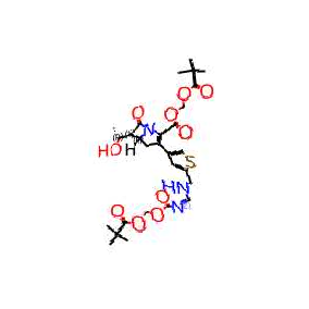 C[C@@H](O)[C@H]1C(=O)N2C(C(=O)OCOC(=O)C(C)(C)C)=C(c3csc(CN/C=N\C(=O)OCOC(=O)C(C)(C)C)c3)C[C@H]12